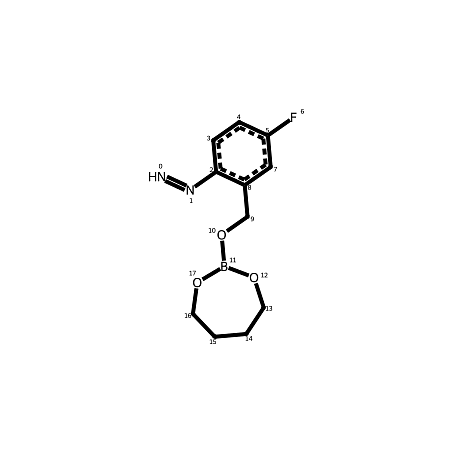 N=Nc1ccc(F)cc1COB1OCCCCO1